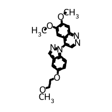 COCCOc1ccc2c(cnn2-c2cnnc3cc(OC)c(OC)cc23)c1